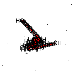 C[Si](C)(CCCOCCOCCOCCOCCOCCOCCOCCOCCOCCOCCO)O[Si](C)(C)O[Si](C)(C)O[Si](C)(C)O[Si](C)(C)O[Si](C)(C)O[Si](C)(C)O[Si](C)(C)O[Si](C)(C)O[Si](C)(C)O[Si](C)(C)O[Si](C)(C)O[Si](C)(C)O[Si](C)(C)O[Si](C)(C)O[Si](C)(C)CCCOCCOCCOCCOCCOCCOCCOCCOCCOCCOCCO